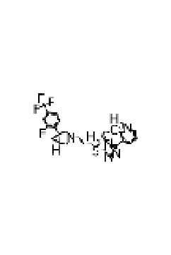 Cc1ncccc1-c1nnc(SCCCN2C[C@H]3C[C@]3(c3ccc(C(F)(F)F)cc3F)C2)n1C